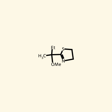 CCC(C)(OC)C1=NCCS1